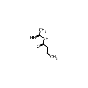 CCCC(=O)NC(C)=N